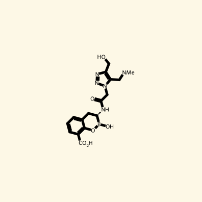 CNCc1c(CO)nnn1CC(=O)N[C@H]1Cc2cccc(C(=O)O)c2OB1O